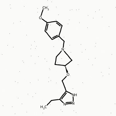 CCc1nn[nH]c1CO[C@H]1CCN(Cc2ccc(OC)cc2)C1